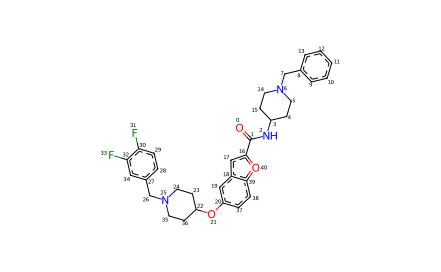 O=C(NC1CCN(Cc2ccccc2)CC1)c1cc2cc(OC3CCN(Cc4ccc(F)c(F)c4)CC3)ccc2o1